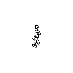 CCN1C(=O)/C(=c2\s/c(=C/c3cc4oc(-c5ccccc5)nc4o3)c(=O)n2CC)SC1=S